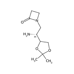 CC1(C)OCC([C@H](N)CN2CCC2=O)O1